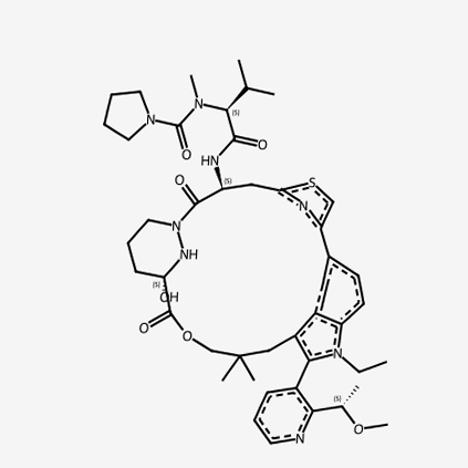 CCn1c(-c2cccnc2[C@H](C)OC)c2c3cc(ccc31)-c1csc(n1)C[C@H](NC(=O)[C@H](C(C)C)N(C)C(=O)N1CCCC1)C(=O)N1CCC[C@@](O)(N1)C(=O)OCC(C)(C)C2